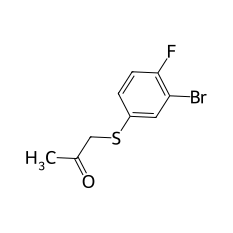 CC(=O)CSc1ccc(F)c(Br)c1